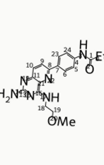 CCC(=O)Nc1ccc(-c2ccc3nc(N)nc(NCCOC)c3n2)cc1